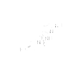 Cc1cc(N)nc(NS(=O)(=O)N2CCC(C(F)(F)F)CC2)c1